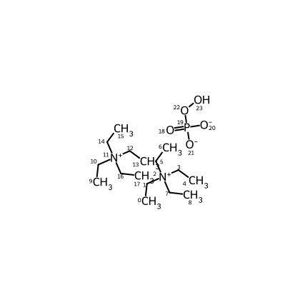 CC[N+](CC)(CC)CC.CC[N+](CC)(CC)CC.O=P([O-])([O-])OO